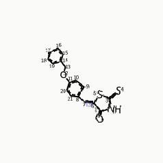 O=C1NC(=S)S/C1=C\c1ccc(OCc2ccccc2)cc1